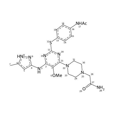 COc1c(Nc2cc(C)[nH]n2)nc(Sc2ccc(NC(C)=O)cc2)nc1N1CCN(CC(N)=O)CC1